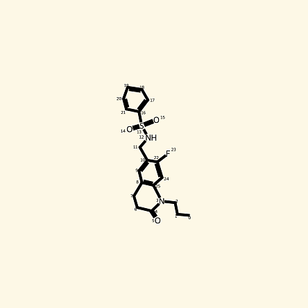 CCCN1C(=O)CCc2cc(CNS(=O)(=O)c3ccccc3)c(F)cc21